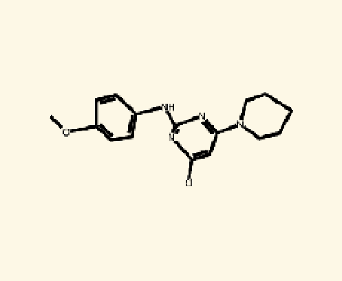 COc1ccc(Nc2nc(Cl)cc(N3CCCCC3)n2)cc1